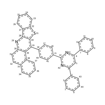 c1ccc(-c2cc(-c3ccccc3)nc(-c3ccc(-c4c5sc6ccccc6c5nc5ccc6ccccc6c45)cc3)n2)cc1